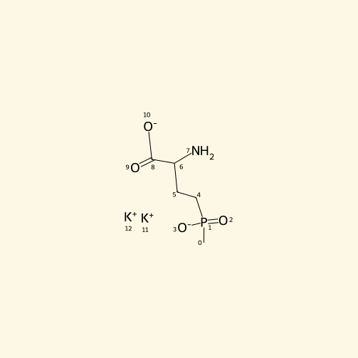 CP(=O)([O-])CCC(N)C(=O)[O-].[K+].[K+]